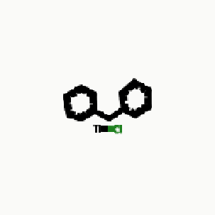 [Cl][Ti].c1ccc(Cc2ccccc2)cc1